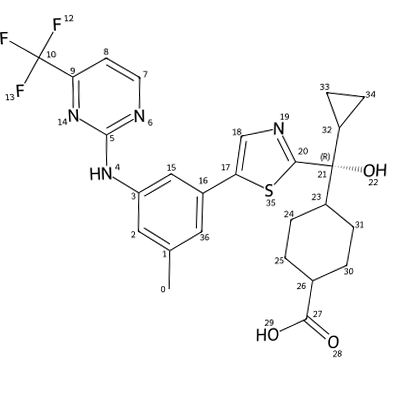 Cc1cc(Nc2nccc(C(F)(F)F)n2)cc(-c2cnc([C@](O)(C3CCC(C(=O)O)CC3)C3CC3)s2)c1